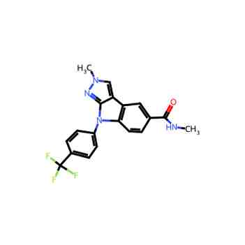 CNC(=O)c1ccc2c(c1)c1cn(C)nc1n2-c1ccc(C(F)(F)F)cc1